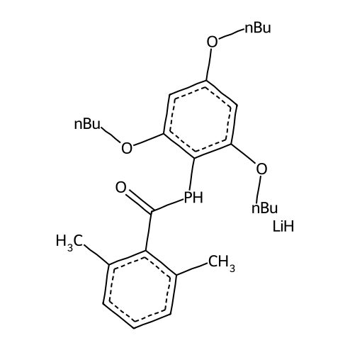 CCCCOc1cc(OCCCC)c(PC(=O)c2c(C)cccc2C)c(OCCCC)c1.[LiH]